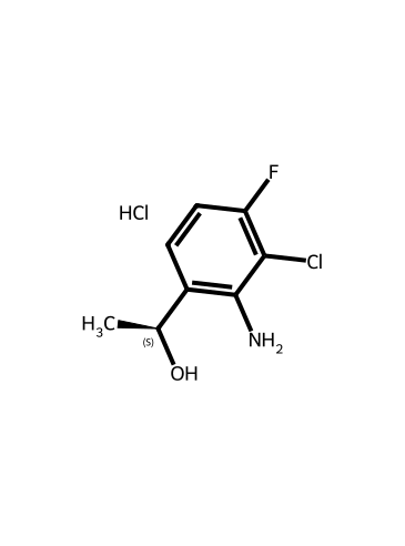 C[C@H](O)c1ccc(F)c(Cl)c1N.Cl